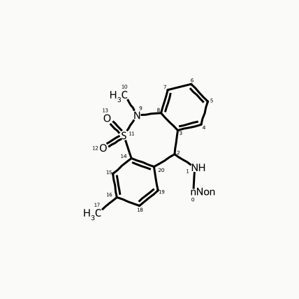 CCCCCCCCCNC1c2ccccc2N(C)S(=O)(=O)c2cc(C)ccc21